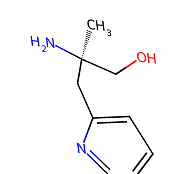 C[C@](N)(CO)Cc1ccccn1